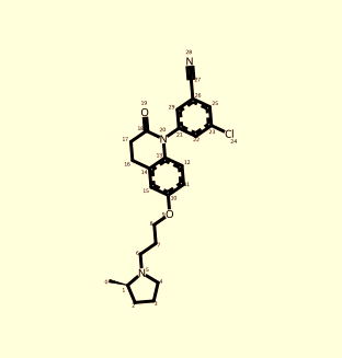 C[C@@H]1CCCN1CCCOc1ccc2c(c1)CCC(=O)N2c1cc(Cl)cc(C#N)c1